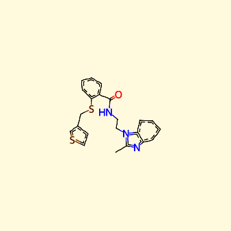 Cc1nc2ccccc2n1CCNC(=O)c1ccccc1SCc1ccsc1